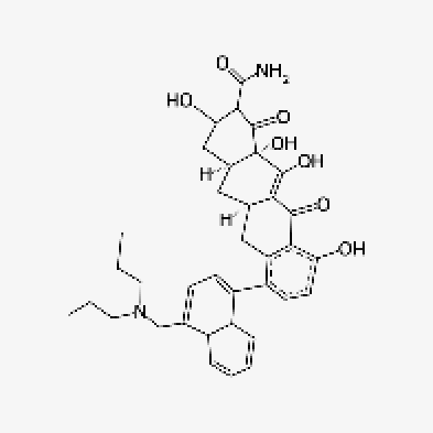 CCCN(CCC)CC1=CC=C(c2ccc(O)c3c2C[C@H]2C[C@H]4CC(O)C(C(N)=O)C(=O)[C@@]4(O)C(O)=C2C3=O)C2C=CC=CC12